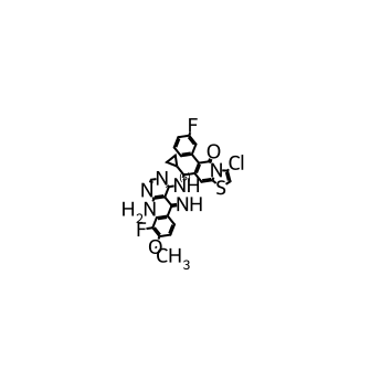 COc1ccc(C(=N)c2c(N)ncnc2N[C@H](c2cc3scc(Cl)n3c(=O)c2-c2cccc(F)c2)C2CC2)cc1F